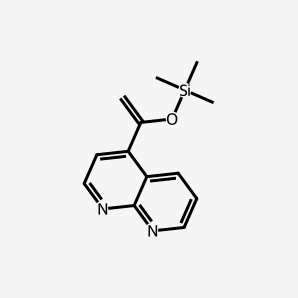 C=C(O[Si](C)(C)C)c1ccnc2ncccc12